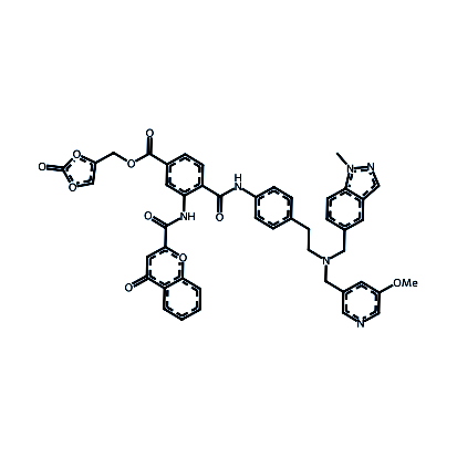 COc1cncc(CN(CCc2ccc(NC(=O)c3ccc(C(=O)OCc4coc(=O)o4)cc3NC(=O)c3cc(=O)c4ccccc4o3)cc2)Cc2ccc3c(cnn3C)c2)c1